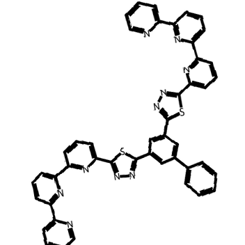 c1ccc(-c2cc(-c3nnc(-c4cccc(-c5cccc(-c6ccccn6)n5)n4)s3)cc(-c3nnc(-c4cccc(-c5cccc(-c6ccccn6)n5)n4)s3)c2)cc1